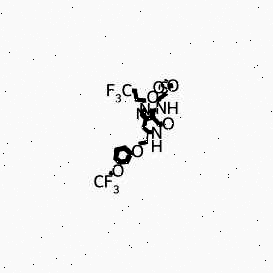 CS(=O)(=O)CC(=O)Nc1c2c(nn1CCCC(F)(F)F)C[C@H](CCOc1cccc(OCC(F)(F)F)c1)NC2=O